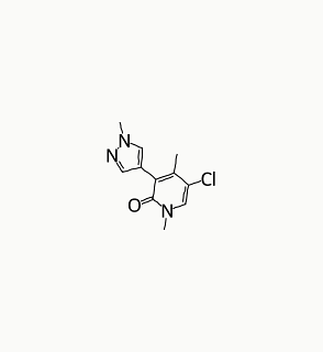 Cc1c(Cl)cn(C)c(=O)c1-c1cnn(C)c1